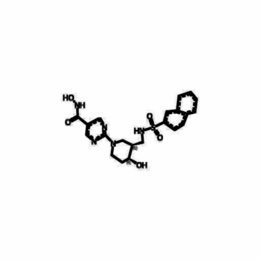 O=C(NO)c1cnc(N2CC[C@H](O)[C@H](CNS(=O)(=O)c3ccc4ccccc4c3)C2)nc1